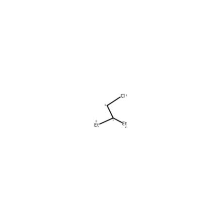 [CH2]CC(CC)CCl